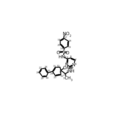 COC1(C(C)Nc2nccc(NS(=O)(=O)c3ccc([N+](=O)[O-])cc3)n2)C=CC(c2ccccc2)=CC1